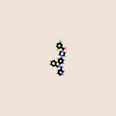 O=C(C1=CC(Cl)=CCC1=S)N1CCN(c2ccc(N(Cc3cccnc3)CC3CCCCC3)cc2)CC1